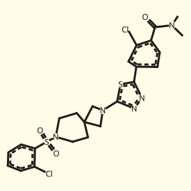 CN(C)C(=O)c1ccc(-c2nnc(N3CC4(CCN(S(=O)(=O)c5ccccc5Cl)CC4)C3)s2)cc1Cl